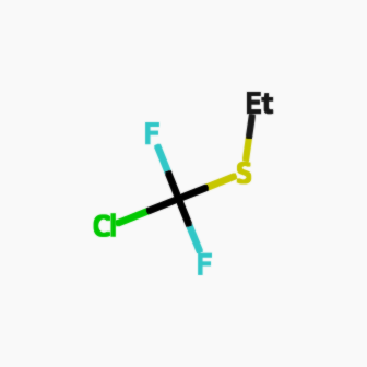 [CH2]CSC(F)(F)Cl